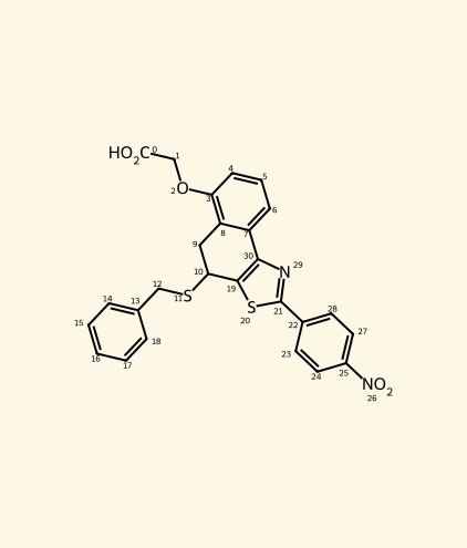 O=C(O)COc1cccc2c1CC(SCc1ccccc1)c1sc(-c3ccc([N+](=O)[O-])cc3)nc1-2